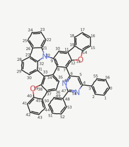 c1ccc(-c2cc(-c3c4c(cc5c3oc3ccccc35)-n3c5ccccc5c5cccc(c53)-c3c-4ccc4c3oc3ccccc34)nc(-c3ccccc3)n2)cc1